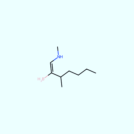 B/C(=C/NC)C(C)CCCC